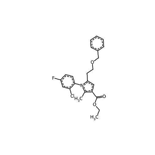 CCOC(=O)c1cc(CCOCc2ccccc2)n(-c2ccc(F)cc2Cl)c1C